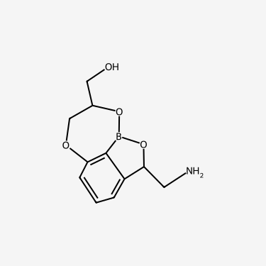 NCC1OB2OC(CO)COc3cccc1c32